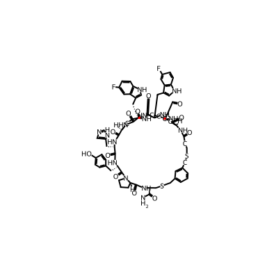 NC(=O)[C@@H]1CSCc2cccc(c2)CSCCC(=O)N[C@H]2CCCCNC(=O)CC[C@H](NC(=O)[C@H](Cc3c[nH]c4ccc(F)cc34)NC(=O)C(Cc3c[nH]c4ccc(F)cc34)NC(C=O)NC2=O)C(=O)N[C@@H](Cc2cnc[nH]2)C(=O)N[C@@H](Cc2ccc(O)cc2)C(=O)N2CCC[C@H]2C(=O)N1